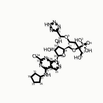 O=P(O)(O)C(CO)(CCOCc1nn[nH]n1)OC[C@H]1O[C@@H](n2ncc3c(NC4CCCC4)nc(Cl)nc32)[C@H](O)[C@@H]1O